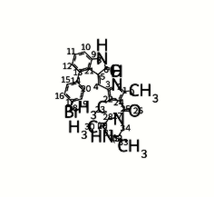 Cc1[nH]c(C=C2C(=O)Nc3cccc(-c4ccc(Br)cc4)c32)c(C)c1C(=O)N1C[C@@H](C)N[C@@H](C)C1